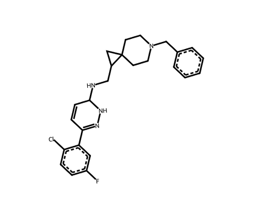 Fc1ccc(Cl)c(C2=NNC(NCC3CC34CCN(Cc3ccccc3)CC4)C=C2)c1